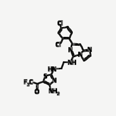 Nc1nc(NCCNc2nc(-c3ccc(Cl)cc3Cl)cc3nccn23)sc1C(=O)C(F)(F)F